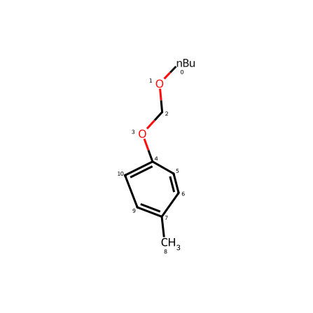 CCCCOCOc1ccc(C)cc1